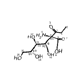 CCC(=O)[C@](N)(C(=O)O)[C@@H](O)[C@H](O)[C@H](O)CO